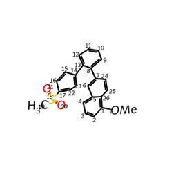 COc1cccc2cc(-c3ccccc3-c3ccc(S(C)(=O)=O)cc3)ccc12